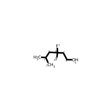 CC(C)CC(F)(F)CCO